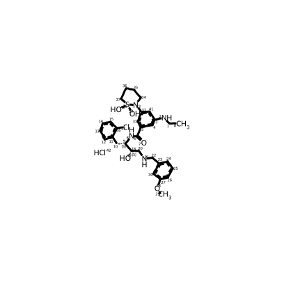 CCNc1cc(C(=O)N[C@@H](Cc2ccccc2Cl)[C@@H](O)CNCc2cccc(OC)c2)cc(N2CCCCS2(O)O)c1.Cl